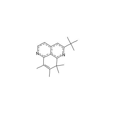 CC1=C(C)C(C)(C)c2nc(C(C)(C)C)cc3ccnc1c23